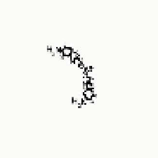 Nc1ccc2sc(COC(=O)OCc3nc4cc(N)ccc4s3)nc2c1